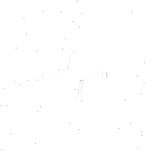 C=C(C)C([O])S